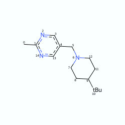 Cc1ncc(CN2CCC(C(C)(C)C)CC2)cn1